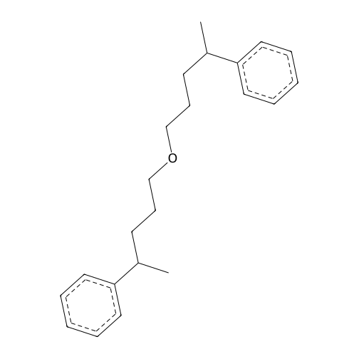 CC(CCCOCCCC(C)c1ccccc1)c1ccccc1